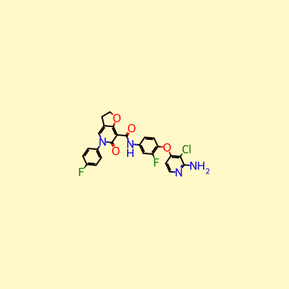 Nc1nccc(Oc2ccc(NC(=O)c3c4c(cn(-c5ccc(F)cc5)c3=O)CCO4)cc2F)c1Cl